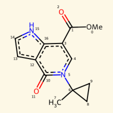 COC(=O)c1cn(C2(C)CC2)c(=O)c2cc[nH]c12